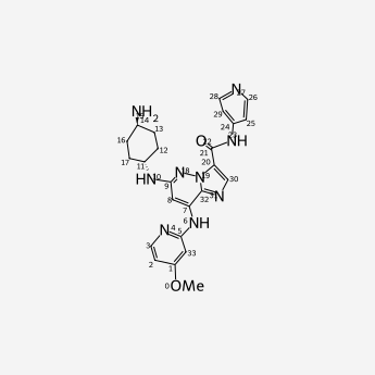 COc1ccnc(Nc2cc(N[C@H]3CC[C@H](N)CC3)nn3c(C(=O)Nc4ccncc4)cnc23)c1